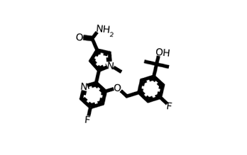 Cn1cc(C(N)=O)cc1-c1ncc(F)cc1OCc1cc(F)cc(C(C)(C)O)c1